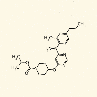 CCCc1ccc(N(N)c2cc(OC3CCN(C(=O)OC(C)C)CC3)ncn2)c(C)c1